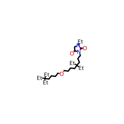 CCN1CC(=O)N(CCCC(CC)(CC)CCCCOCCCCC(CC)(CC)CC)C1=O